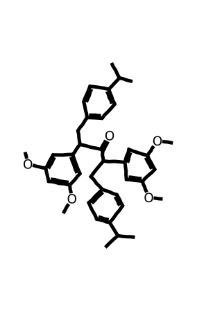 COc1cc(OC)cc(C(Cc2ccc(C(C)C)cc2)C(=O)C(Cc2ccc(C(C)C)cc2)c2cc(OC)cc(OC)c2)c1